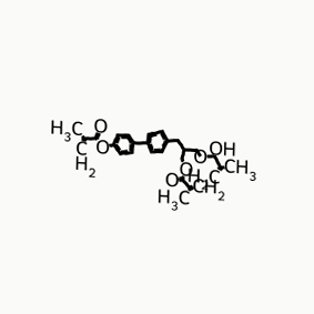 C=C(C)C(=O)OCC(COC(O)C(=C)C)Cc1ccc(-c2ccc(OC(=O)C(=C)C)cc2)cc1